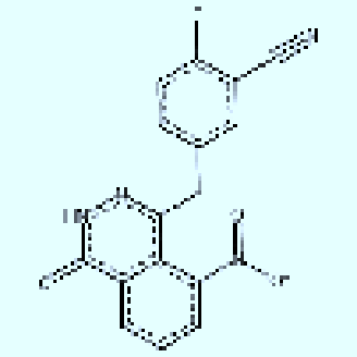 N#Cc1cc(Cc2n[nH]c(=O)c3cccc([N+](=O)[O-])c23)ccc1F